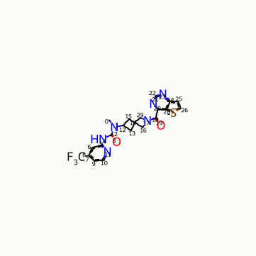 CN(C(=O)Nc1cc(C(F)(F)F)ccn1)C1CC2(C1)CN(C(=O)c1ncnc3ccsc13)C2